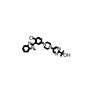 Cn1c(-c2cc(N3CCN(c4cnc(C(C)(C)O)nc4)CC3)ccc2Cl)nc2ccccc21